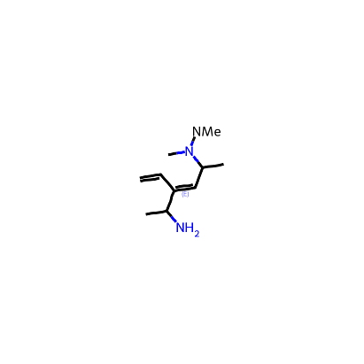 C=C/C(=C\C(C)N(C)NC)C(C)N